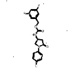 O=C(NC1CC(=O)N(c2ccc(Cl)cc2)C1)OCc1cc(F)cc(F)c1